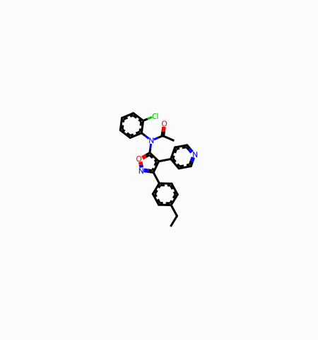 CCc1ccc(-c2noc(N(C(C)=O)c3ccccc3Cl)c2-c2ccncc2)cc1